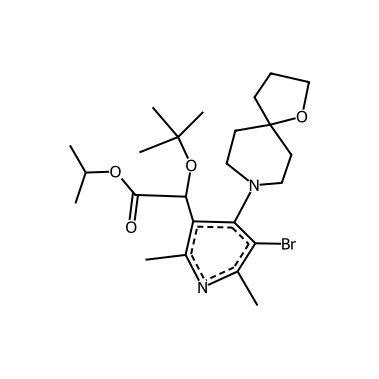 Cc1nc(C)c(C(OC(C)(C)C)C(=O)OC(C)C)c(N2CCC3(CCCO3)CC2)c1Br